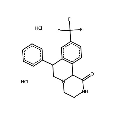 Cl.Cl.O=C1NCCN2CC(c3ccccc3)c3cc(C(F)(F)F)ccc3C12